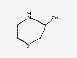 CC1CSCCN1